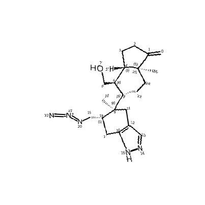 C=C1CC[C@H]2[C@H](CO)[C@@H]([C@@]3(C)Cc4cn[nH]c4C[C@@H]3CN=[N+]=[N-])CC[C@]12C